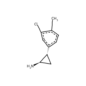 Cc1ccc([C@@H]2C[C@H]2N)cc1Cl